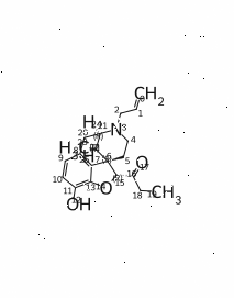 C=CCN1CC[C@]23c4c(ccc(O)c4O[C@H]2C(=O)CC)C[C@@H]1[C@@H]3C